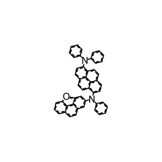 c1ccc(N(c2ccccc2)c2ccc3ccc4c(N(c5ccccc5)c5cc6ccc7cccc8oc(c5)c6c78)ccc5ccc2c3c54)cc1